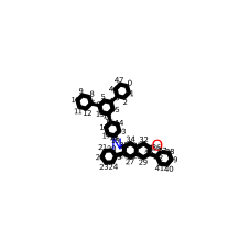 c1ccc(-c2cc(-c3ccccc3)cc(-c3ccc(-n4c5ccccc5c5cc6cc7c(cc6cc54)oc4ccccc47)cc3)c2)cc1